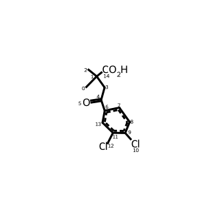 CC(C)(CC(=O)c1ccc(Cl)c(Cl)c1)C(=O)O